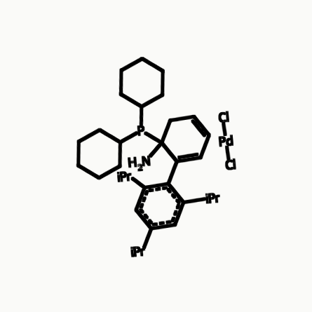 CC(C)c1cc(C(C)C)c(C2=CC=CCC2(N)P(C2CCCCC2)C2CCCCC2)c(C(C)C)c1.[Cl][Pd][Cl]